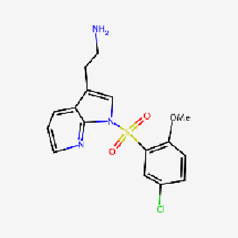 COc1ccc(Cl)cc1S(=O)(=O)n1cc(CCN)c2cccnc21